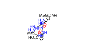 COc1ccc(C[C@H](N)C(=O)N[C@H](CCCNC(=N)N)C(=O)NCC(=O)N[C@@H](Cc2ccccc2)C(=O)N[C@@H](CCSC)C(=O)O)cc1OC